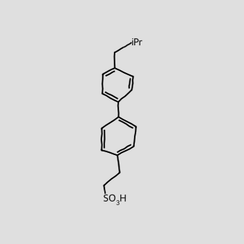 CC(C)Cc1ccc(-c2ccc(CCS(=O)(=O)O)cc2)cc1